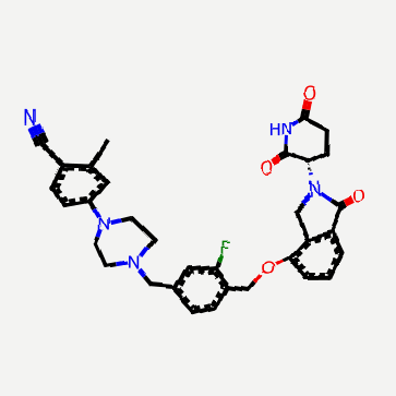 Cc1cc(N2CCN(Cc3ccc(COc4cccc5c4CN([C@H]4CCC(=O)NC4=O)C5=O)c(F)c3)CC2)ccc1C#N